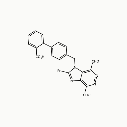 CC(C)c1nc2c(C=O)nnc(C=O)c2n1Cc1ccc(-c2ccccc2C(=O)O)cc1